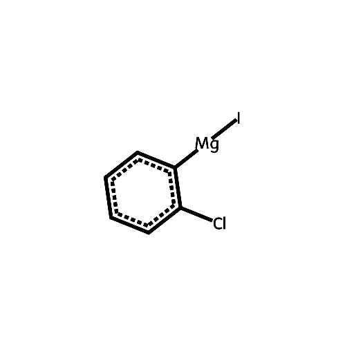 Clc1cccc[c]1[Mg][I]